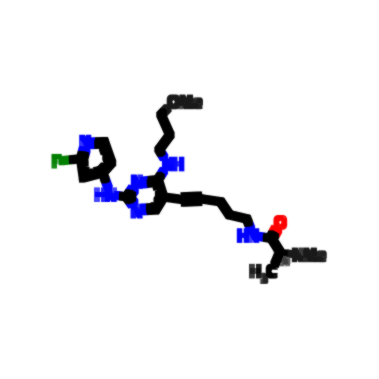 CN[C@@H](C)C(=O)NCCCC#Cc1cnc(Nc2ccnc(F)c2)nc1NCCCOC